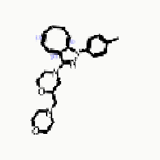 Cc1ccc(-n2nc(N3CCOC(CN4CCOCC4)C3)c3/c2=C\CC/C=C\C=3)cc1